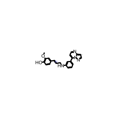 COc1cc(/C=C/CNc2cccc(-c3ccnc4[c]cnn34)c2)ccc1O